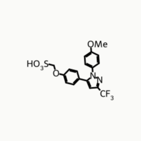 COc1ccc(-n2nc(C(F)(F)F)cc2-c2ccc(OCS(=O)(=O)O)cc2)cc1